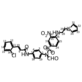 O=CN(c1ccc(NC(=O)C=Cc2ccccc2Cl)cc1)S(=O)(=O)c1ccc(NCC[SH]2C=CC=C2)c([N+](=O)[O-])c1